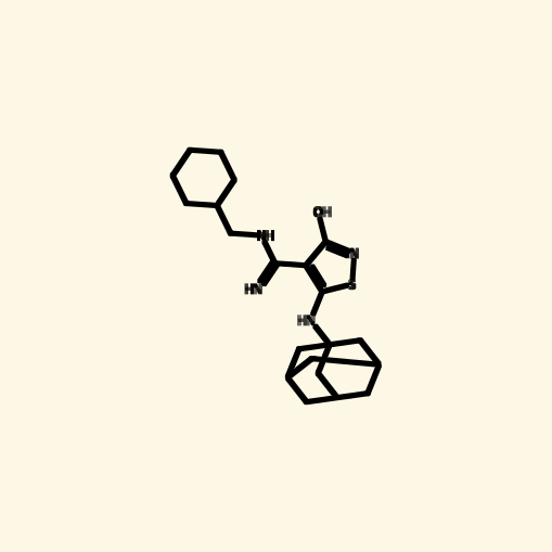 N=C(NCC1CCCCC1)c1c(O)nsc1NC12CC3CC(CC(C3)C1)C2